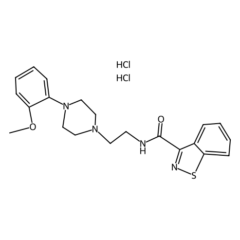 COc1ccccc1N1CCN(CCNC(=O)c2nsc3ccccc23)CC1.Cl.Cl